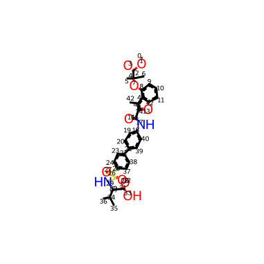 COC(=O)C(C)(C)Oc1cccc2oc(C(=O)Nc3ccc(-c4ccc(S(=O)(=O)N[C@H](C(=O)O)C(C)C)cc4)cc3)c(C)c12